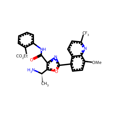 CCOC(=O)c1ccccc1NC(=O)c1nc(-c2ccc(OC)c3nc(C(F)(F)F)ccc23)oc1[C@H](C)N